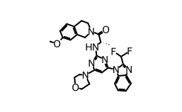 COc1ccc2c(c1)CN(C(=O)[C@H](C)Nc1nc(N3CCOCC3)cc(-n3c(C(F)F)nc4ccccc43)n1)CC2